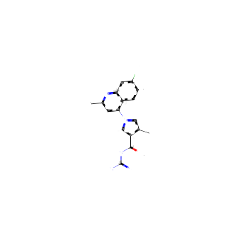 Cc1cc(-n2cc(C)c(C(=O)NC(=N)N)c2)c2ccc(Cl)cc2n1